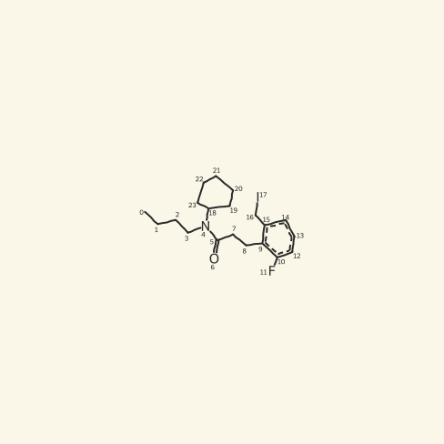 CCCCN(C(=O)CCc1c(F)cccc1CI)C1CCCCC1